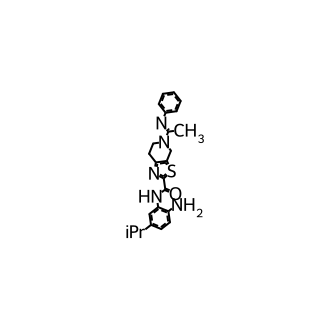 CC(=Nc1ccccc1)N1CCc2nc(C(=O)Nc3cc(C(C)C)ccc3N)sc2C1